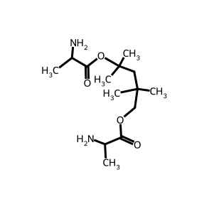 CC(N)C(=O)OCC(C)(C)CC(C)(C)OC(=O)C(C)N